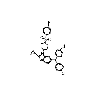 O=S(=O)(c1ccc(F)cc1)N1CCC(n2c(C3CC3)nc3ccc(C(c4ccc(Cl)cc4)c4ccc(Cl)cc4)cc32)CC1